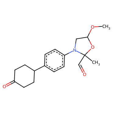 COC1CN(c2ccc(C3CCC(=O)CC3)cc2)C(C)(C=O)O1